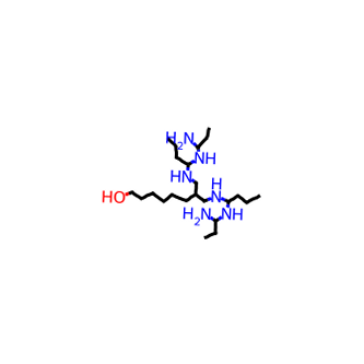 CCCC(NCC(CCCCCCO)CNC(CCC)NC(N)CC)NC(N)CC